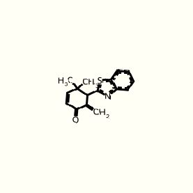 C=C1C(=O)C=CC(C)(C)C1c1nc2ccccc2s1